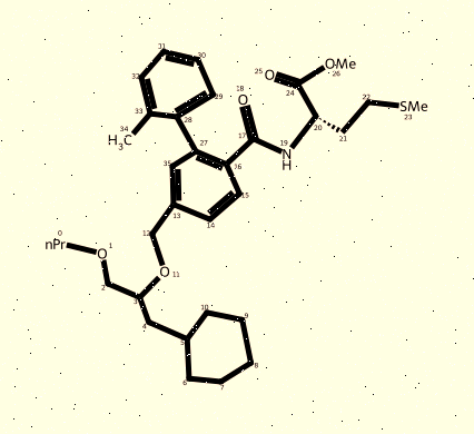 CCCOCC(CC1CCCCC1)OCc1ccc(C(=O)N[C@@H](CCSC)C(=O)OC)c(-c2ccccc2C)c1